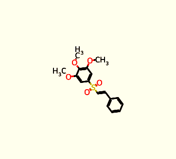 COc1cc(S(=O)(=O)C=Cc2ccccc2)cc(OC)c1OC